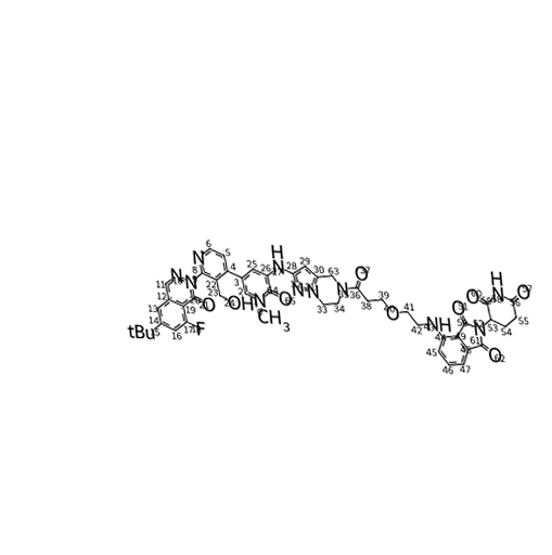 Cn1cc(-c2ccnc(-n3ncc4cc(C(C)(C)C)cc(F)c4c3=O)c2CO)cc(Nc2cc3n(n2)CCN(C(=O)CCOCCNc2cccc4c2C(=O)N(C2CCC(=O)NC2=O)C4=O)C3)c1=O